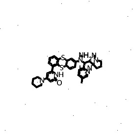 Cc1ccc(C(C[C@]2(N)CCCN2N)N(N)C2=CC3Sc4cccc(-c5cc(N6CCCCC6)cc(=O)[nH]5)c4SC3C=C2)nc1